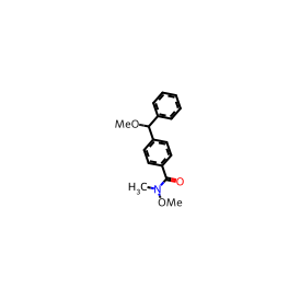 COC(c1ccccc1)c1ccc(C(=O)N(C)OC)cc1